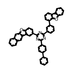 c1ccc(-c2ccc(-c3nc(-c4cccc(-c5cccc6c5oc5ccccc56)c4)nc(-c4ccc5oc6cc7ccccc7cc6c5c4)n3)cc2)cc1